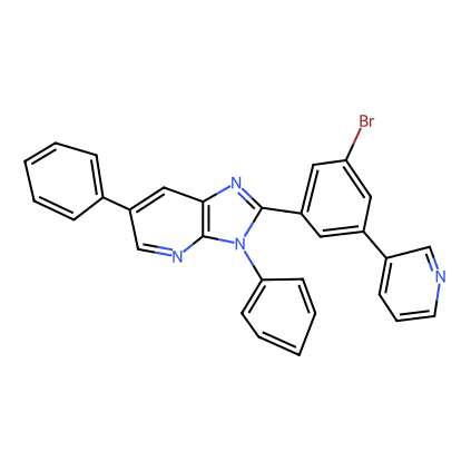 Brc1cc(-c2cccnc2)cc(-c2nc3cc(-c4ccccc4)cnc3n2-c2ccccc2)c1